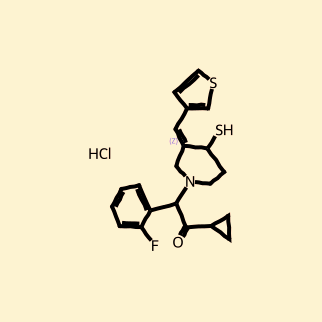 Cl.O=C(C1CC1)C(c1ccccc1F)N1CCC(S)/C(=C\c2ccsc2)C1